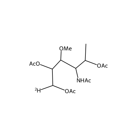 [2H]C(OC(C)=O)C(OC(C)=O)C(OC)C(NC(C)=O)C(C)OC(C)=O